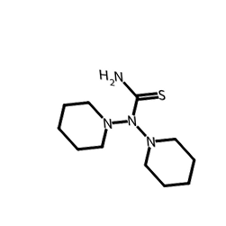 NC(=S)N(N1CCCCC1)N1CCCCC1